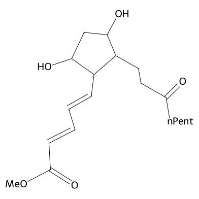 CCCCCC(=O)CCC1C(O)CC(O)C1C=CC=CC(=O)OC